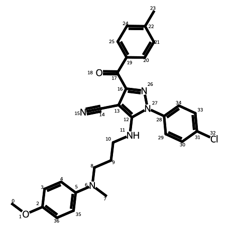 COc1ccc(N(C)CCCNc2c(C#N)c(C(=O)c3ccc(C)cc3)nn2-c2ccc(Cl)cc2)cc1